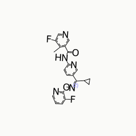 Cc1c(F)cncc1C(=O)Nc1ccc(/C(=N\Oc2ncccc2F)C2CC2)cn1